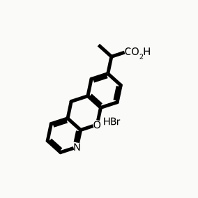 Br.CC(C(=O)O)c1ccc2c(c1)Cc1cccnc1O2